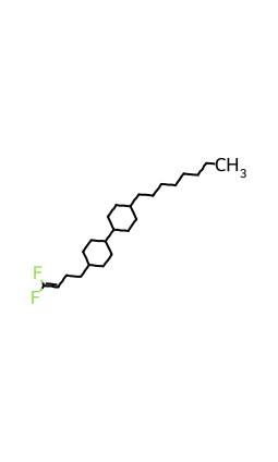 CCCCCCCCC1CCC(C2CCC(CCC=C(F)F)CC2)CC1